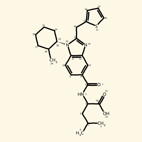 CC(C)CC(NC(=O)c1ccc2c(c1)nc(Cc1cccs1)n2[C@H]1CCCCC1C)C(=O)O